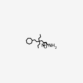 CCCC(CCC)(CCC1CCCCCC1)Cc1cc(N)on1